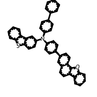 c1ccc(-c2ccc(N(c3ccc(-c4ccc5c(ccc6c7ccccc7oc56)c4)cc3)c3ccc4sc5ccccc5c4c3)cc2)cc1